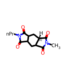 CCCN1C(=O)C2CC3C(=O)N(C)C(=O)[C@H]3CC2C1=O